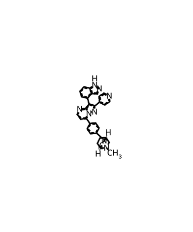 CN1C[C@@H]2CC[C@H]1CN2c1ccc(-c2ccnc3c(-c4cccc5[nH]ncc45)c(-c4ccncc4)nn23)cc1